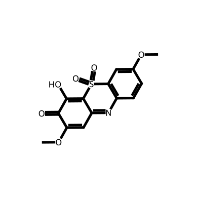 COC1=CC2=Nc3ccc(OC)cc3S(=O)(=O)C2=C(O)C1=O